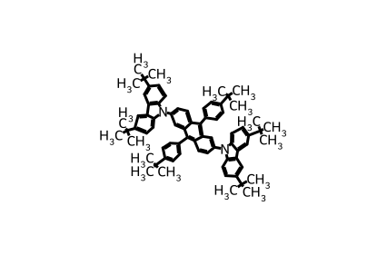 CC(C)(C)c1ccc(-c2c3ccc(-n4c5ccc(C(C)(C)C)cc5c5cc(C(C)(C)C)ccc54)cc3c(-c3ccc(C(C)(C)C)cc3)c3ccc(-n4c5ccc(C(C)(C)C)cc5c5cc(C(C)(C)C)ccc54)cc23)cc1